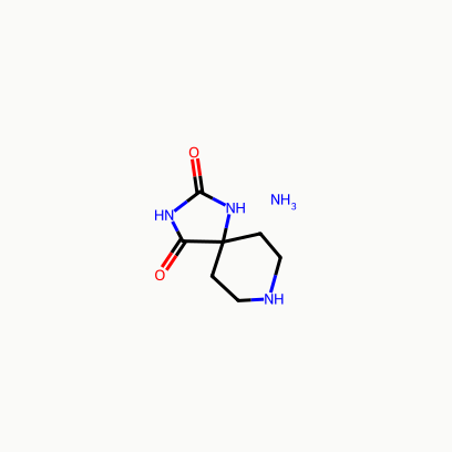 N.O=C1NC(=O)C2(CCNCC2)N1